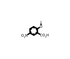 O=C(O)c1cc([N+](=O)[O-])ccc1OI